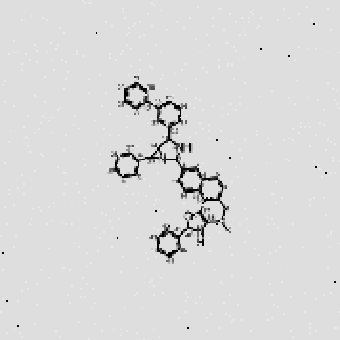 CC1Cc2ccc3cc(C4NC(c5cccc(-c6ccccc6)c5)C5C(c6ccccc6)N45)ccc3c2C2=C1NC(c1ccccc1)O2